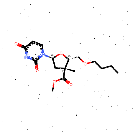 CCCCOC[C@H]1O[C@H](n2ccc(=O)[nH]c2=O)C[C@@]1(C)C(=O)OC